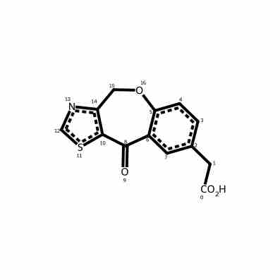 O=C(O)Cc1ccc2c(c1)C(=O)c1scnc1CO2